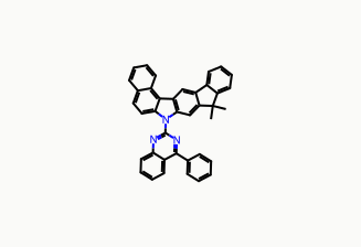 CC1(C)c2ccccc2-c2cc3c4c5ccccc5ccc4n(-c4nc(-c5ccccc5)c5ccccc5n4)c3cc21